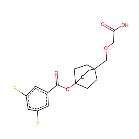 O=C(O)COCC12CCC(OC(=O)c3cc(F)cc(F)c3)(CC1)CC2